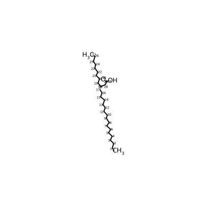 CCCCCCCCCCCCCCCCCC[C@H](CCCCCCCCC)CC(=O)O